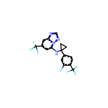 Fc1cc(C2(Nc3cc(C(F)(F)F)cc4ncnn34)CC2)ccc1C(F)(F)F